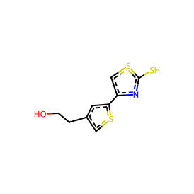 OCCc1csc(-c2csc(S)n2)c1